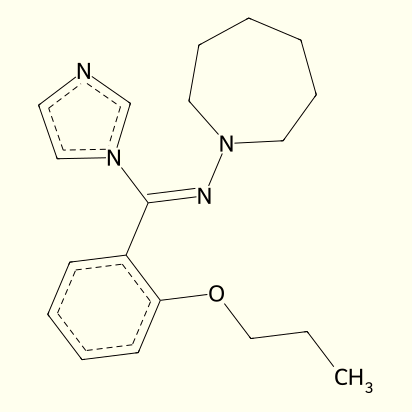 CCCOc1ccccc1C(=NN1CCCCCC1)n1ccnc1